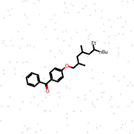 CCCCC(CC)CC(C)CC(C)COc1ccc(C(=O)c2ccccc2)cc1